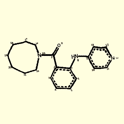 O=C(c1ccccc1Nc1ccncc1)N1CCCCCCC1